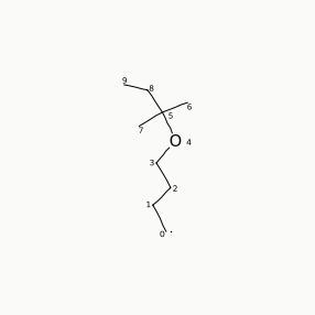 [CH2]CCCOC(C)(C)CC